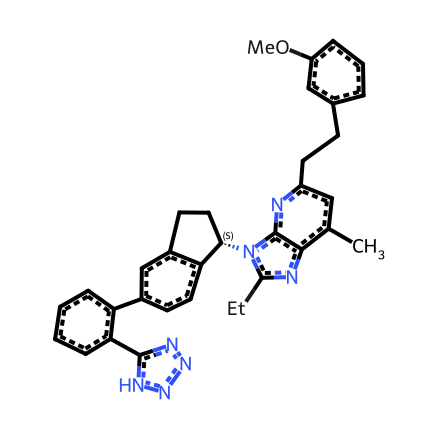 CCc1nc2c(C)cc(CCc3cccc(OC)c3)nc2n1[C@H]1CCc2cc(-c3ccccc3-c3nnn[nH]3)ccc21